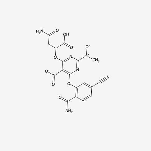 C[S+]([O-])c1nc(Oc2cc(C#N)ccc2C(N)=O)c([N+](=O)[O-])c(OC(CC(N)=O)C(=O)O)n1